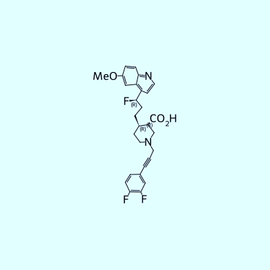 COc1ccc2nccc([C@H](F)CC[C@@H]3CCN(CC#Cc4ccc(F)c(F)c4)C[C@@H]3C(=O)O)c2c1